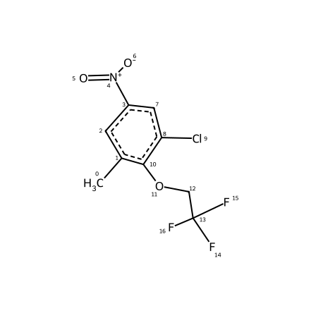 Cc1cc([N+](=O)[O-])cc(Cl)c1OCC(F)(F)F